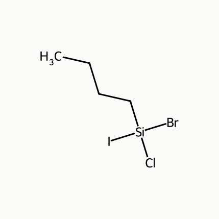 CCCC[Si](Cl)(Br)I